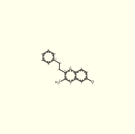 Cc1nc2cc(Cl)ccc2nc1CCc1ccccc1